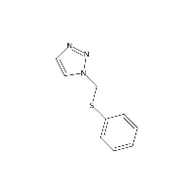 c1ccc(SCn2ccnn2)cc1